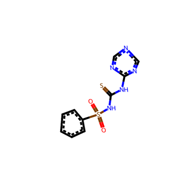 O=S(=O)(NC(=S)Nc1ncncn1)c1ccccc1